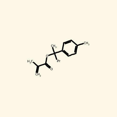 C=C(C)C(=O)OC(C)(c1ccc(C)cc1)C(C)C